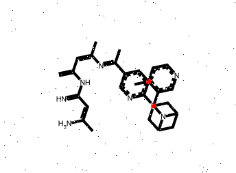 C=C(/C=C(C)\N=C(/C)c1ccc(N2CC3CC(C2)N3Cc2cnccc2C)nc1)NC(=N)/C=C(/C)N